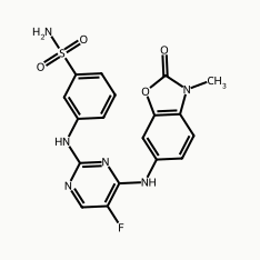 Cn1c(=O)oc2cc(Nc3nc(Nc4cccc(S(N)(=O)=O)c4)ncc3F)ccc21